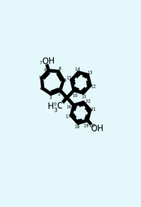 CC(C1=CCC=C(O)C=C1)(c1ccccc1)c1ccc(O)cc1